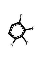 [N]c1ccc(F)c(F)c1F